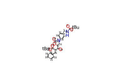 CC(C)(C)OC(=O)NCc1ccc(N2CC(C(=O)[C@@H](Cc3ccccc3)C(=O)OC(C)(C)C)OC2=O)cc1